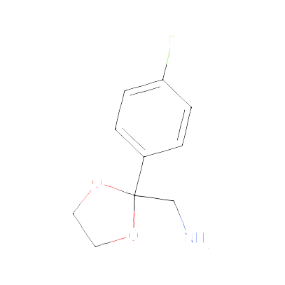 NCC1(c2ccc(F)cc2)OCCO1